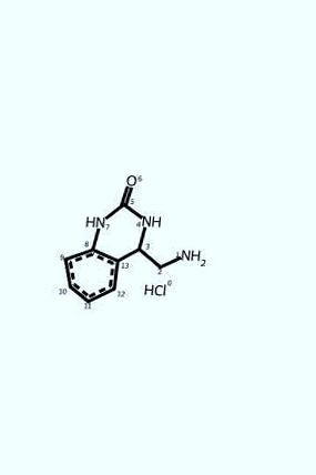 Cl.NCC1NC(=O)Nc2ccccc21